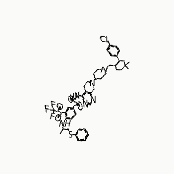 CC(CSc1ccccc1)Nc1ccc(S(=O)(=O)Nc2ncnc3c2CCN(C2CCN(CC4=C(c5ccc(Cl)cc5)CC(C)(C)CC4)CC2)C3)cc1S(=O)(=O)C(F)(F)F